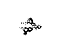 CC1(C)CNCc2cc(NC(=O)c3cccnc3NCc3ccnc(N)c3)ccc21